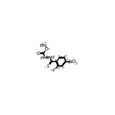 CC(C)(C)OC(=O)NNC(=S)c1ccc([N+](=O)[O-])cc1F